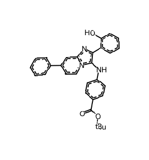 CC(C)(C)OC(=O)c1ccc(Nc2c(-c3ccccc3O)nc3cc(-c4ccccc4)ccn23)cc1